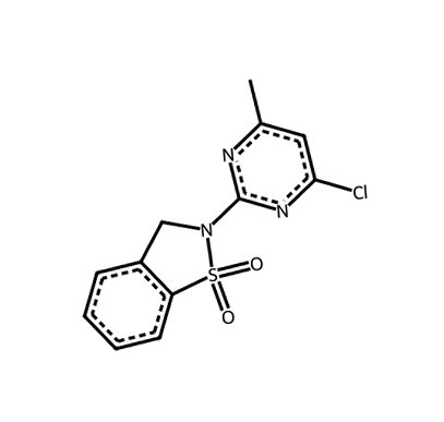 Cc1cc(Cl)nc(N2Cc3ccccc3S2(=O)=O)n1